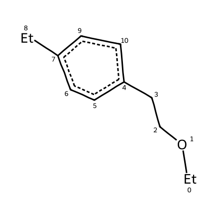 CCOCCc1ccc(CC)cc1